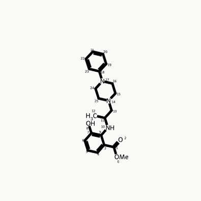 COC(=O)c1cccc(O)c1NC(C)CN1CCN(c2ccccc2)CC1